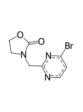 O=C1OCCN1Cc1nccc(Br)n1